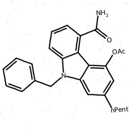 CCCCCc1cc(OC(C)=O)c2c3c(C(N)=O)cccc3n(Cc3ccccc3)c2c1